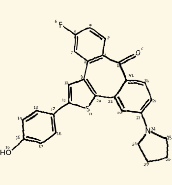 O=c1c2ccc(F)cc2c2cc(-c3ccc(O)cc3)sc2c2cc(N3CCCC3)ccc12